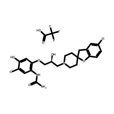 NC(=O)Nc1cc(Cl)c(O)cc1OC[C@@H](O)CN1CCC2(CC1)Cc1cc(Cl)ccc1O2.O=C(O)C(F)(F)F